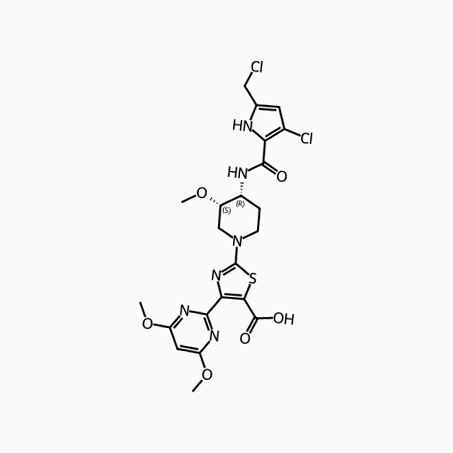 COc1cc(OC)nc(-c2nc(N3CC[C@@H](NC(=O)c4[nH]c(CCl)cc4Cl)[C@@H](OC)C3)sc2C(=O)O)n1